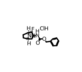 Cl.O=C(N[C@H]1C[C@H]2CC[C@H](N2)[C@@H]1F)OCc1ccccc1